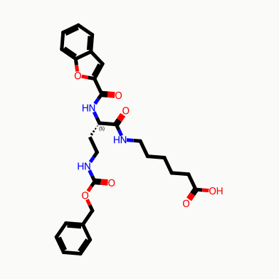 O=C(O)CCCCCNC(=O)[C@H](CCNC(=O)OCc1ccccc1)NC(=O)c1cc2ccccc2o1